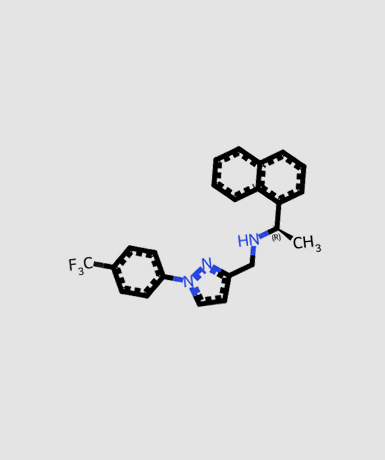 C[C@@H](NCc1ccn(-c2ccc(C(F)(F)F)cc2)n1)c1cccc2ccccc12